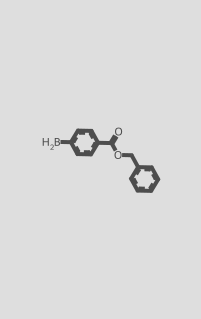 Bc1ccc(C(=O)OCc2ccccc2)cc1